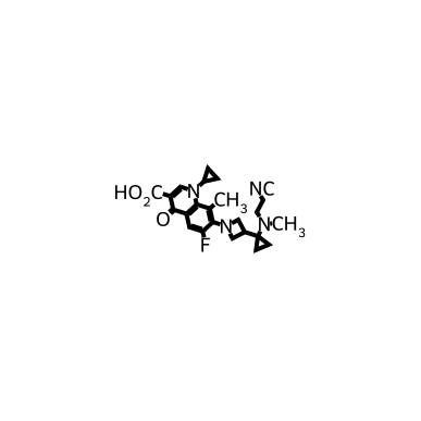 Cc1c(N2CC(C3(N(C)CCC#N)CC3)C2)c(F)cc2c(=O)c(C(=O)O)cn(C3CC3)c12